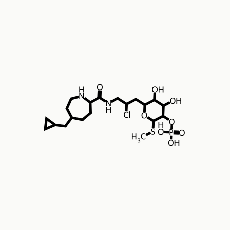 CSC1OC(CC(Cl)CNC(=O)C2CCC(CC3CC3)CCN2)C(O)C(O)C1OP(=O)(O)O